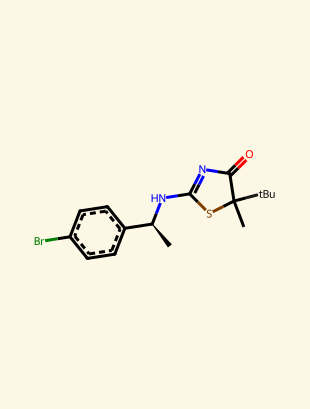 C[C@H](NC1=NC(=O)C(C)(C(C)(C)C)S1)c1ccc(Br)cc1